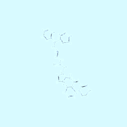 B(C(=Cc1ccccc1)c1ccccc1)c1nccn1C[SiH2]CC=CCC(c1ccccc1)c1ccccc1